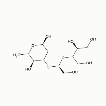 CC1O[C@@H](O)CC(O[C@H](CO)OC(CO)[C@@H](O)CO)[C@H]1O